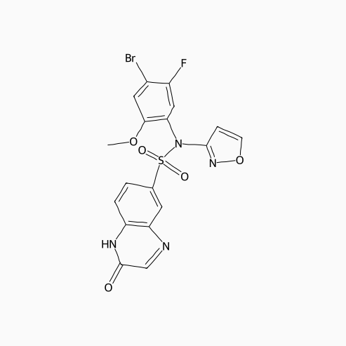 COc1cc(Br)c(F)cc1N(c1ccon1)S(=O)(=O)c1ccc2[nH]c(=O)cnc2c1